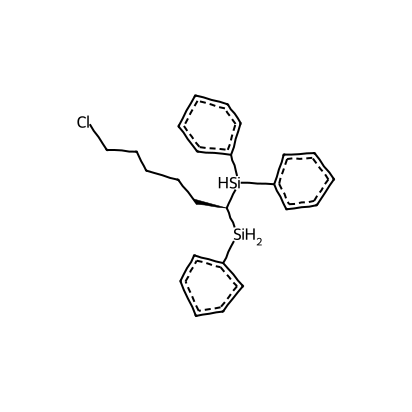 ClCCCCC[C@H]([SiH2]c1ccccc1)[SiH](c1ccccc1)c1ccccc1